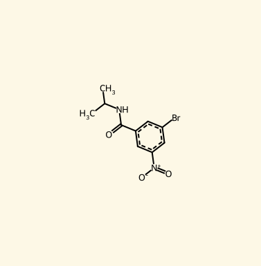 CC(C)NC(=O)c1cc(Br)cc([N+](=O)[O-])c1